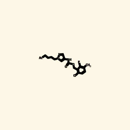 CC(=O)CCCCn1cc(NC(=O)OCc2c(Cl)ccc(C)c2F)cn1